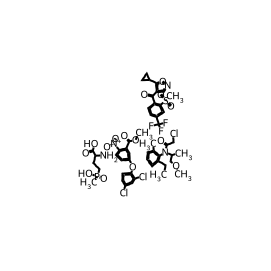 CCc1cccc(C)c1N(C(=O)CCl)C(C)COC.COC(=O)c1cc(Oc2ccc(Cl)cc2Cl)ccc1[N+](=O)[O-].CP(=O)(O)CCC(N)C(=O)O.CS(=O)(=O)c1cc(C(F)(F)F)ccc1C(=O)c1cnoc1C1CC1